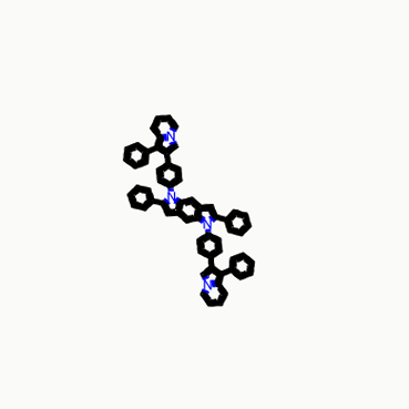 c1ccc(-c2c(-c3ccc(-n4c(-c5ccccc5)cc5cc6c(cc(-c7ccccc7)n6-c6ccc(-c7cn8ccccc8c7-c7ccccc7)cc6)cc54)cc3)cn3ccccc23)cc1